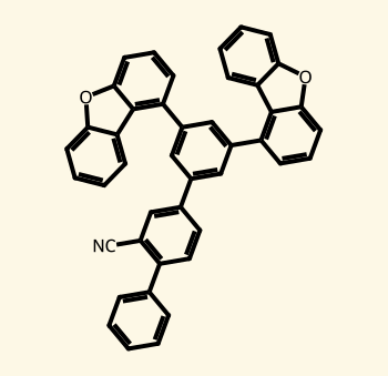 N#Cc1cc(-c2cc(-c3cccc4oc5ccccc5c34)cc(-c3cccc4oc5ccccc5c34)c2)ccc1-c1ccccc1